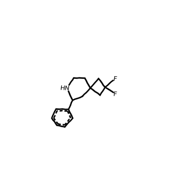 FC1(F)CC2(CCNC(c3ccccc3)C2)C1